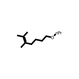 [CH2]CCOCCCCC(C)=C(C)C